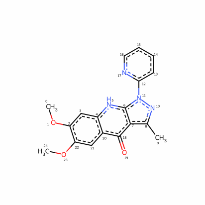 COc1cc2[nH]c3c(c(C)nn3-c3ccccn3)c(=O)c2cc1OC